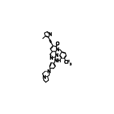 CC1=C(C#Cc2cc3cnc(Nc4ccc(N5CCN6CCCC6C5)cc4)nc3n(Cc3ccc(C(F)(F)F)cc3)c2=O)N=CC1